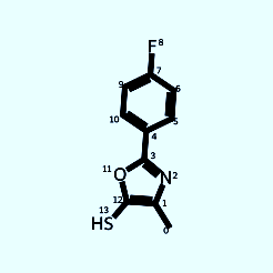 Cc1nc(-c2ccc(F)cc2)oc1S